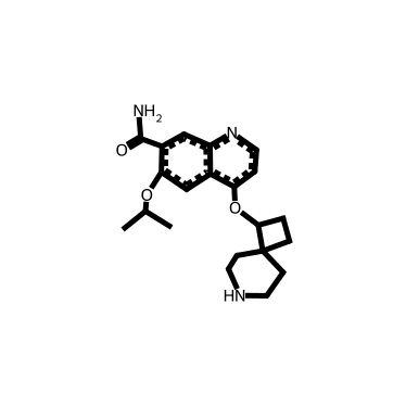 CC(C)Oc1cc2c(OC3CCC34CCNCC4)ccnc2cc1C(N)=O